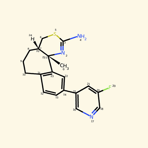 C[C@]12N=C(N)SC[C@H]1CCCc1ccc(-c3cncc(F)c3)cc12